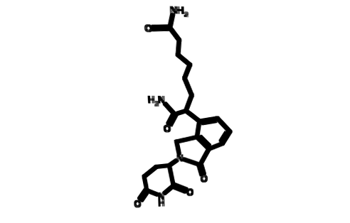 NC(=O)CCCCCC(C(N)=O)c1cccc2c1CN(C1CCC(=O)NC1=O)C2=O